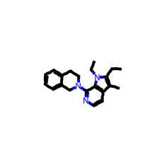 CCc1c(C)c2ccnc(N3CCc4ccccc4C3)c2n1CC